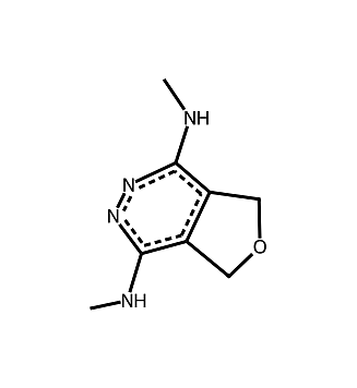 CNc1nnc(NC)c2c1COC2